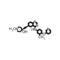 Cc1cc(Nc2ncnc3ccc(C#CC4(O)CCN(C)CC4)cc23)ccc1Oc1cccnc1